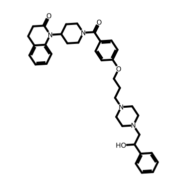 O=C(c1ccc(OCCCN2CCN(CC(O)c3ccccc3)CC2)cc1)N1CCC(N2C(=O)CCc3ccccc32)CC1